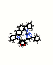 c1ccc(-c2cc(-c3ccccc3)nc(-n3c4ccccc4c4ccc5cc6c7ccccc7n(-c7ccccc7)c6cc5c43)n2)cc1